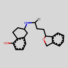 CCC(CCC1OCc2ccccc21)NC1CCc2c(O)cccc2C1